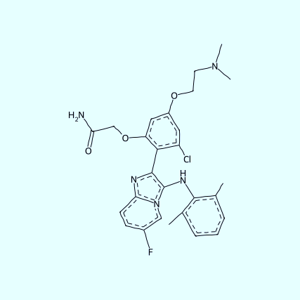 Cc1cccc(C)c1Nc1c(-c2c(Cl)cc(OCCN(C)C)cc2OCC(N)=O)nc2ccc(F)cn12